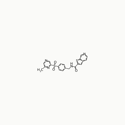 Cc1cncc(S(=O)(=O)c2ccc(CNC(=O)c3cc4ccncc4s3)cc2)n1